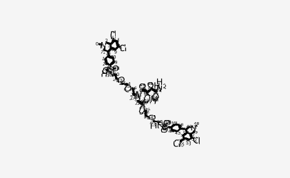 CN1Cc2c(Cl)cc(Cl)cc2C(c2ccc(S(=O)(=O)NCCOCCOCCN(CCOCCOCCNS(=O)(=O)c3ccc(C4CN(C)Cc5c(Cl)cc(Cl)cc54)cc3)C(=O)C(O)C(O)C(N)=O)cc2)C1